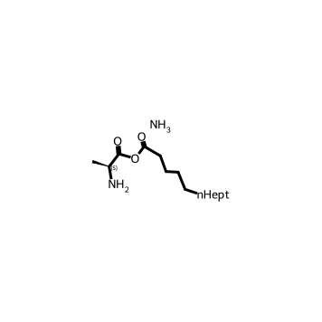 CCCCCCCCCCCC(=O)OC(=O)[C@H](C)N.N